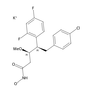 CO[C@H](CC(=O)N[O-])[C@H](Cc1ccc(Cl)cc1)c1ccc(F)cc1F.[K+]